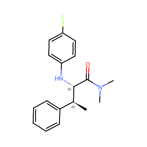 C[C@@H](c1ccccc1)[C@H](Nc1ccc(F)cc1)C(=O)N(C)C